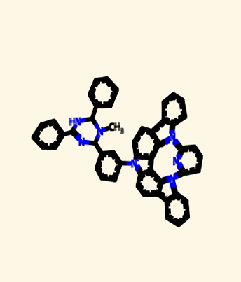 CN1C(c2cccc(-n3c4ccc5c6ccccc6n6c7cccc(n7)n7c8ccccc8c8ccc3c(c4c56)c87)c2)N=C(c2ccccc2)NC1c1ccccc1